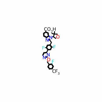 CC1(C)COCC1n1c(Cc2cc(F)c(-c3ccnc(OCc4ccc(C(F)(F)F)cc4F)n3)cc2F)nc2ccc(C(=O)O)cc21